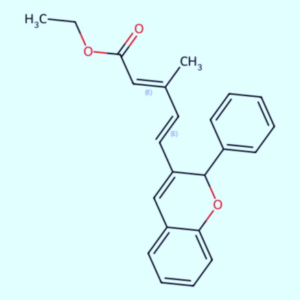 CCOC(=O)/C=C(C)/C=C/C1=Cc2ccccc2OC1c1ccccc1